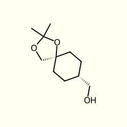 CC1(C)OC[C@]2(CC[C@@H](CO)CC2)O1